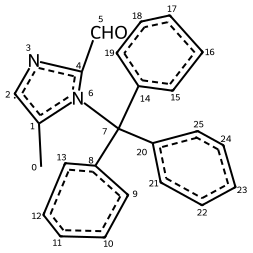 Cc1[c]nc(C=O)n1C(c1ccccc1)(c1ccccc1)c1ccccc1